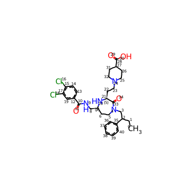 CCC(CN1CC[C@@H](CNC(=O)c2ccc(Cl)c(Cl)c2)N[C@@H](CCN2CCC(C(=O)O)CC2)C1=O)c1ccccc1